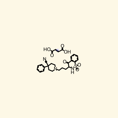 N#CC1(c2ccccc2)CCN(CCCC2NS(=O)(=O)c3ccccc3C2=O)CC1.O=C(O)/C=C/C(=O)O